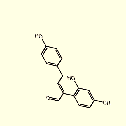 O=C/C(=C/Cc1ccc(O)cc1)c1ccc(O)cc1O